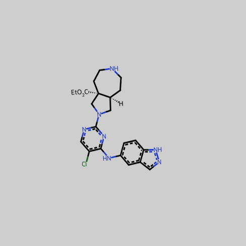 CCOC(=O)[C@]12CCNCC[C@H]1CN(c1ncc(Cl)c(Nc3ccc4[nH]ncc4c3)n1)C2